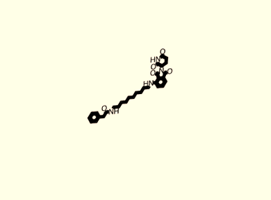 O=C(Cc1ccccc1)NCCCCCCCCCCNc1cccc2c1C(=O)N(C1CCC(=O)NC1=O)C2=O